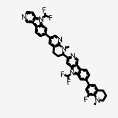 CN1CCCc2cc(-c3ccc4c5cnc(C6CCc7cc(-c8ccc9c%10cnccc%10n(C(F)F)c9c8)cnc7N6C)cc5n(C(F)F)c4c3)cc(F)c21